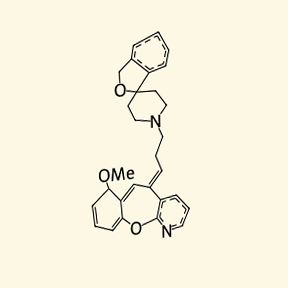 COC1C=CC=C2Oc3ncccc3C(=CCCN3CCC4(CC3)OCc3ccccc34)C=C21